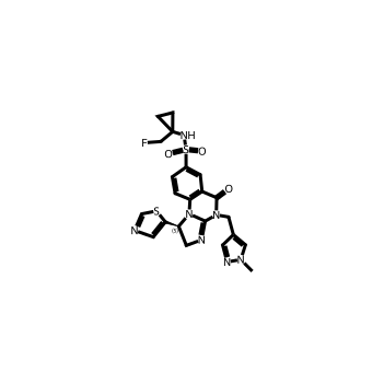 Cn1cc(CN2C(=O)c3cc(S(=O)(=O)NC4(CF)CC4)ccc3N3C2=NC[C@H]3c2cncs2)cn1